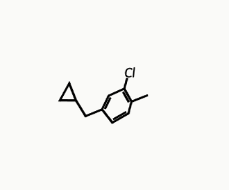 Cc1ccc(CC2CC2)cc1Cl